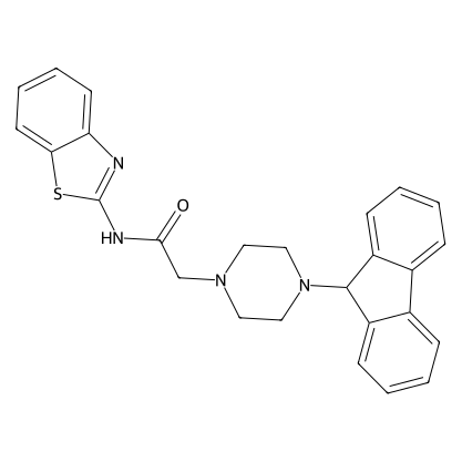 O=C(CN1CCN(C2c3ccccc3-c3ccccc32)CC1)Nc1nc2ccccc2s1